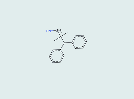 CC(C)([SiH2][NH])C(c1ccccc1)c1ccccc1